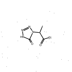 CCC(=O)C(C)n1nn[nH]c1=O